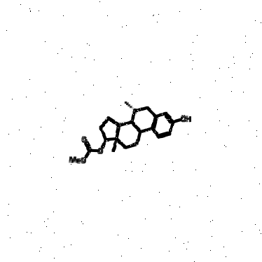 COC(=O)O[C@H]1CCC2C3C(CC[C@@]21C)c1ccc(O)cc1C[C@H]3C